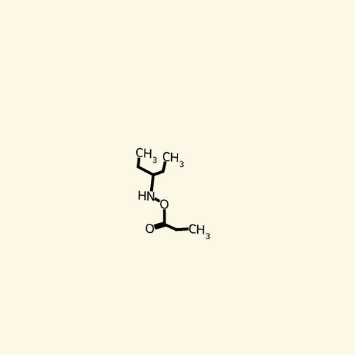 CCC(=O)ONC(CC)CC